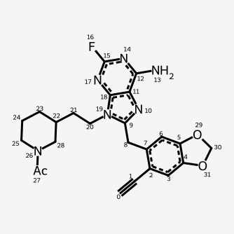 C#Cc1cc2c(cc1Cc1nc3c(N)nc(F)nc3n1CCC1CCCN(C(C)=O)C1)OCO2